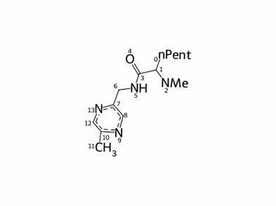 CCCCCC(NC)C(=O)NCc1cnc(C)cn1